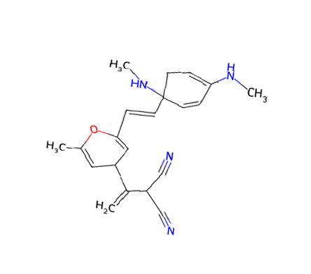 C=C(C(C#N)C#N)C1C=C(C)OC(C=CC2(NC)C=CC(NC)=CC2)=C1